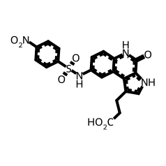 O=C(O)CCc1c[nH]c2c(=O)[nH]c3ccc(NS(=O)(=O)c4ccc([N+](=O)[O-])cc4)cc3c12